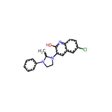 C=C1N(c2ccccc2)CCN1c1cc2cc(Cl)ccc2nc1O